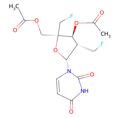 CC(=O)OC[C@@]1(CF)O[C@@H](n2ccc(=O)[nH]c2=O)[C@@H](CF)[C@@H]1OC(C)=O